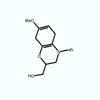 CCCN1CC(CO)OC2=C1CC=C(OC)C2